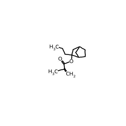 C=C(C)C(=O)OC1(CCC)CC2CCC1C2